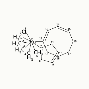 [CH3][Ru]([CH3])([CH3])([CH3])([CH3])([Cl])([C]1=CC=CC1)[C]1=CC=CCCCC1